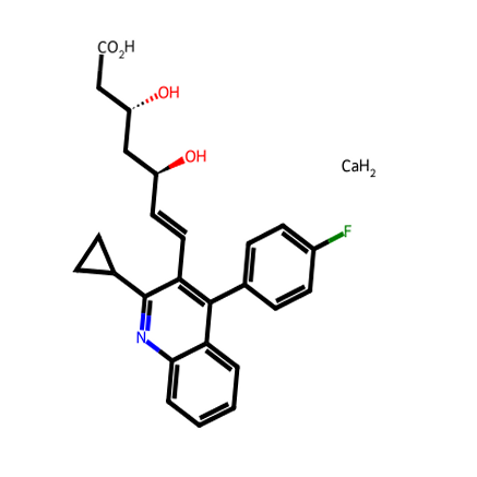 O=C(O)C[C@H](O)C[C@@H](O)/C=C/c1c(C2CC2)nc2ccccc2c1-c1ccc(F)cc1.[CaH2]